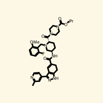 COc1cccc(F)c1CN1C[C@H](NC(=O)C2=Cc3c(-c4ccnc(C)c4)n[nH]c3CC2)CC[C@H]1C(=O)N1CCN(C(=O)OC(C)C)CC1